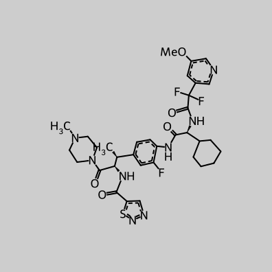 COc1cncc(C(F)(F)C(=O)N[C@H](C(=O)Nc2ccc([C@H](C)[C@@H](NC(=O)c3cnns3)C(=O)N3CCN(C)CC3)cc2F)C2CCCCC2)c1